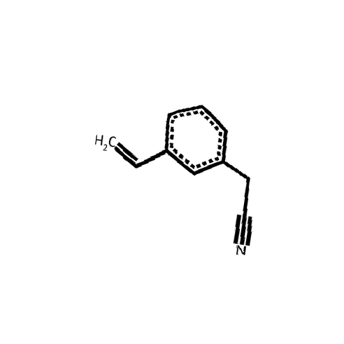 C=Cc1cccc(CC#N)c1